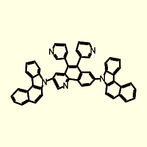 c1cncc(-c2c(-c3cccnc3)c3cc(-n4c5ccccc5c5c6ccccc6ccc54)cnc3c3ccc(-n4c5ccccc5c5c6ccccc6ccc54)cc23)c1